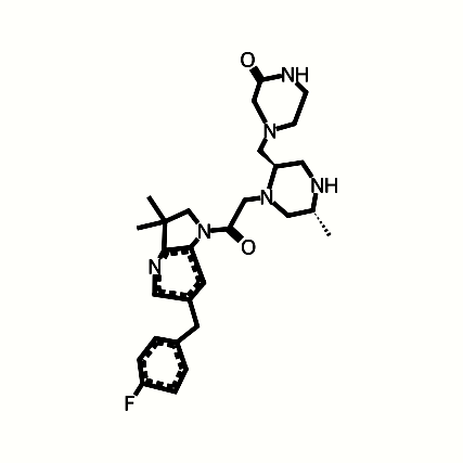 C[C@@H]1CN(CC(=O)N2CC(C)(C)c3ncc(Cc4ccc(F)cc4)cc32)[C@@H](CN2CCNC(=O)C2)CN1